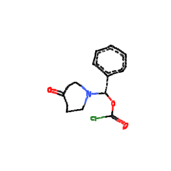 O=C1CCN(C(OC(=O)Cl)c2ccccc2)C1